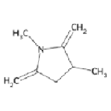 C=C1CC(C)C(=C)N1C